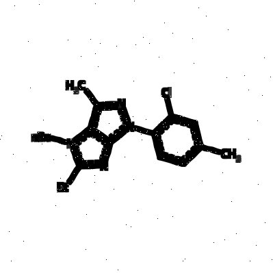 CCCCn1c(CC)nc2c1c(C)nn2-c1ccc(C)cc1Cl